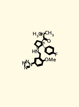 COc1ccc(-n2cnnn2)cc1CN[C@H]1CC[C@@H](C(=O)N(C)C)[C@@H]1c1ccc(F)cc1